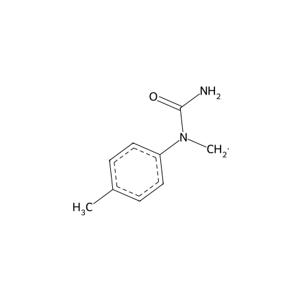 [CH2]N(C(N)=O)c1ccc(C)cc1